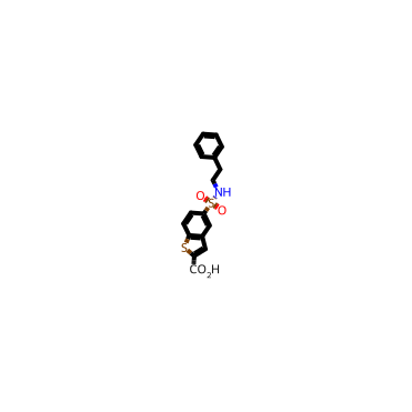 O=C(O)c1cc2cc(S(=O)(=O)NCCc3ccccc3)ccc2s1